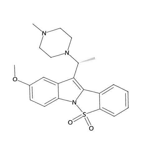 COc1ccc2c(c1)c([C@@H](C)N1CCN(C)CC1)c1n2S(=O)(=O)c2ccccc2-1